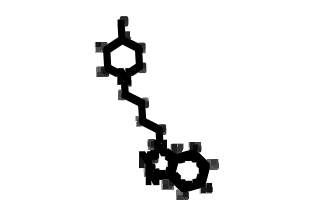 CC1CCN(CCCCn2nnc3ccccc32)CC1